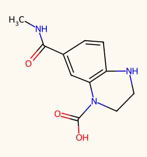 CNC(=O)c1ccc2c(c1)N(C(=O)O)CCN2